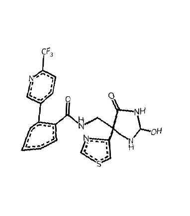 O=C(NCC1(c2cscn2)NC(O)NC1=O)c1ccccc1-c1ccc(C(F)(F)F)nc1